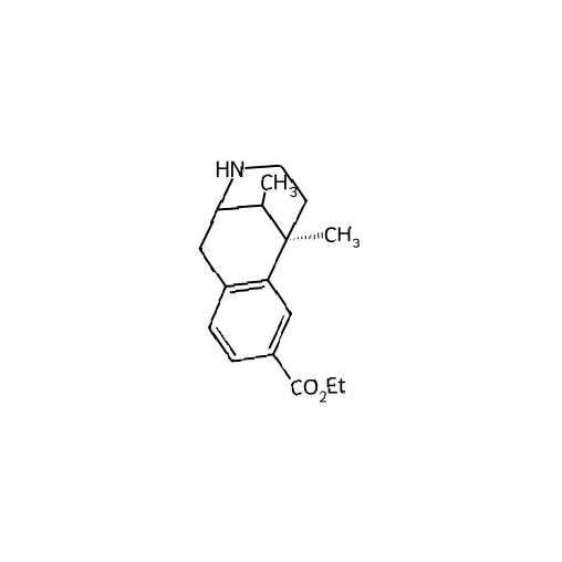 CCOC(=O)c1ccc2c(c1)[C@]1(C)CCNC(C2)C1C